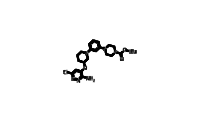 CC(C)(C)OC(=O)N1CCN(c2cccc(N3CCCC(Oc4cc(Cl)nnc4N)C3)c2)CC1